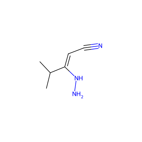 CC(C)/C(=C/C#N)NN